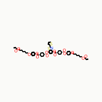 C=CC(=O)OCCCCCCOC1=CCC(OC(=O)[C@H]2CC[C@H](C(=O)Oc3ccc(OC(=O)[C@H]4CC[C@H](C(=O)Oc5ccc(OCCCCCCOC(=O)C=C)cc5)CC4)c4sc(-c5cccs5)nc34)CC2)C=C1